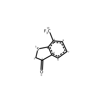 O=C1CSc2c1cccc2C(F)(F)F